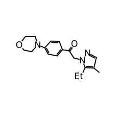 CCc1c(C)cnn1CC(=O)c1ccc(N2CCOCC2)cc1